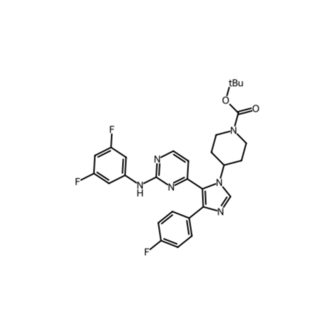 CC(C)(C)OC(=O)N1CCC(n2cnc(-c3ccc(F)cc3)c2-c2ccnc(Nc3cc(F)cc(F)c3)n2)CC1